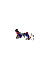 C[C@H]1CN(C(=O)OC(C)(C)C)CC[C@@H]1C(=O)N1CC=C(c2ccc3c(-c4ccc(OCc5ccccc5)nc4OCc4ccccc4)nn(C)c3c2)CC1